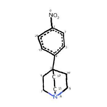 O=[N+]([O-])c1ccc(C23CCN(CC2)CC3)cc1